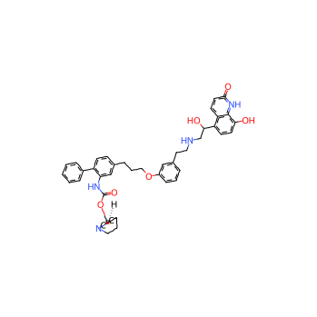 O=C(Nc1cc(CCCOc2cccc(CCNCC(O)c3ccc(O)c4[nH]c(=O)ccc34)c2)ccc1-c1ccccc1)O[C@H]1CN2CCC1CC2